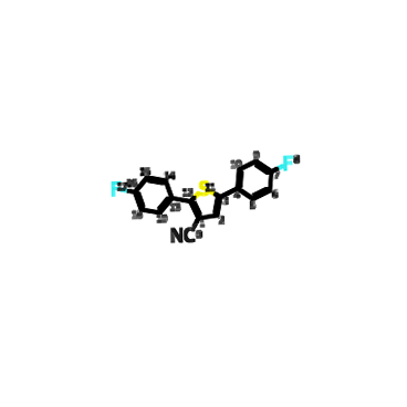 N#Cc1cc(-c2ccc(F)cc2)sc1-c1ccc(F)cc1